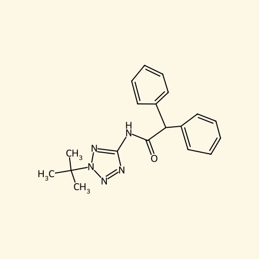 CC(C)(C)n1nnc(NC(=O)C(c2ccccc2)c2ccccc2)n1